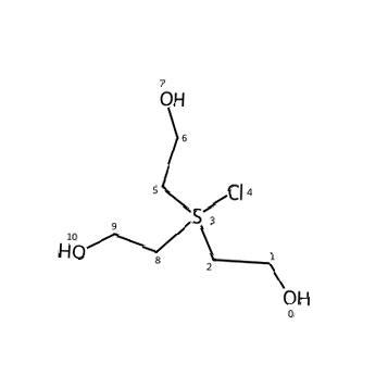 OCCS(Cl)(CCO)CCO